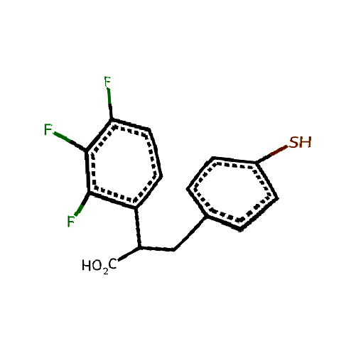 O=C(O)C(Cc1ccc(S)cc1)c1ccc(F)c(F)c1F